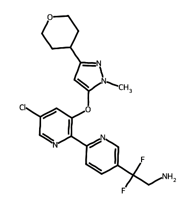 Cn1nc(C2CCOCC2)cc1Oc1cc(Cl)cnc1-c1ccc(C(F)(F)CN)cn1